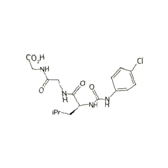 CC(C)C[C@H](NC(=O)Nc1ccc(Cl)cc1)C(=O)NCC(=O)NCC(=O)O